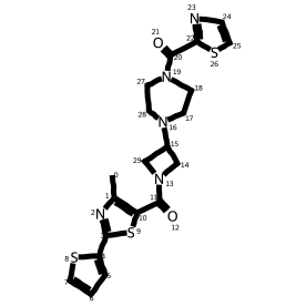 Cc1nc(-c2cccs2)sc1C(=O)N1CC(N2CCN(C(=O)c3nccs3)CC2)C1